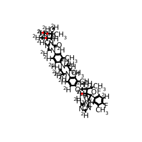 [2H]O[C@@](C)(C([2H])([2H])[2H])[C@@]([2H])(n1nc([2H])n(-c2c([2H])c([2H])c(N3C([2H])([2H])C([2H])([2H])N(c4c([2H])c([2H])c(OC([2H])([2H])[C@]5([2H])C([2H])(C)O[C@](c6c(C)c(C)c(F)c([2H])c6F)([C@]([2H])(C)n6nc([2H])nc6[2H])C5([2H])[2H])c(C)c4[2H])C([2H])(C)C3([2H])[2H])c(C)c2[2H])c1=O)C(C)(C)C([2H])([2H])[2H]